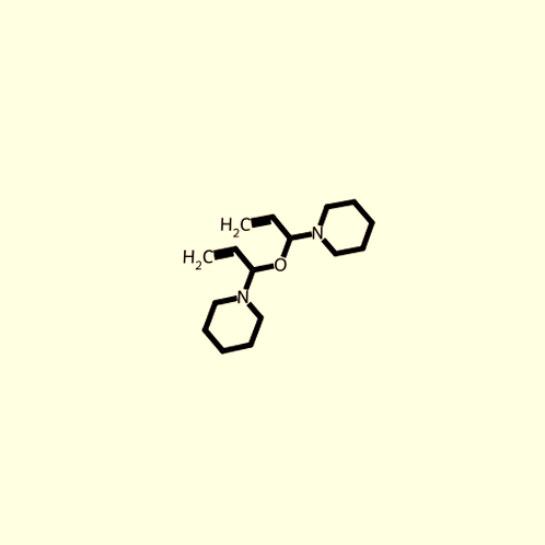 C=CC(OC(C=C)N1CCCCC1)N1CCCCC1